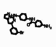 Nc1ccc(C(=O)Nc2ccc(Nc3nc(-c4cccc(Br)c4)cc4ccnn34)cc2)cc1